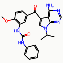 COc1ccc(C(=O)c2cn(C(C)C)c3ncnc(N)c23)cc1NC(=O)Nc1ccccc1